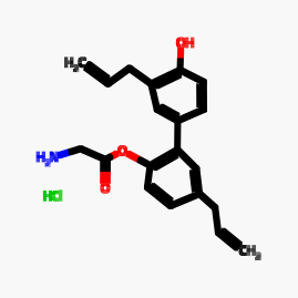 C=CCc1ccc(OC(=O)CN)c(-c2ccc(O)c(CC=C)c2)c1.Cl